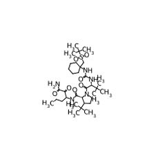 CCCC(NC(=O)[C@@H]1C(C(C)(C)C)CCN1C(=O)[C@@H](NC(=O)NC1(CS(=O)(=O)C(C)(C)C)CCCCC1)C(C)(C)C)C(=O)C(N)=O